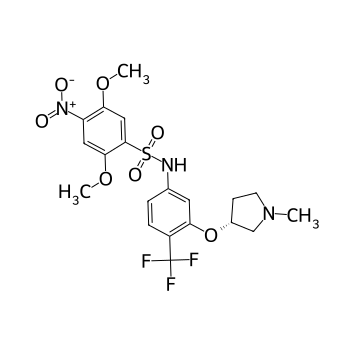 COc1cc(S(=O)(=O)Nc2ccc(C(F)(F)F)c(O[C@@H]3CCN(C)C3)c2)c(OC)cc1[N+](=O)[O-]